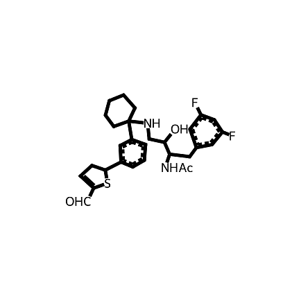 CC(=O)NC(Cc1cc(F)cc(F)c1)C(O)CNC1(c2cccc(C3CC=C(C=O)S3)c2)CCCCC1